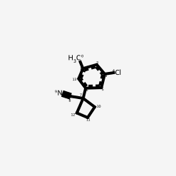 Cc1cc(Cl)cc(C2(C#N)CCC2)c1